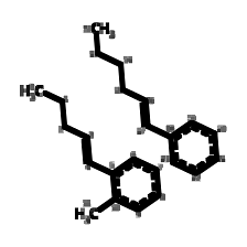 CCCC=Cc1ccccc1C.CCCCC=Cc1ccccc1